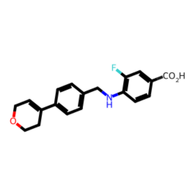 O=C(O)c1ccc(NCc2ccc(C3=CCOCC3)cc2)c(F)c1